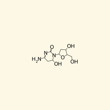 NC1=NC(=O)N(C2CC(O)C(CO)O2)C(O)C1